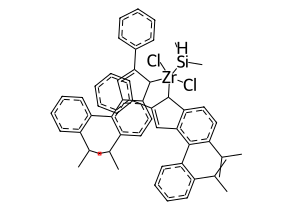 CC(C)c1ccccc1-c1c(C(C)C)ccc2c1C=C(c1ccccc1)[CH]2[Zr]([Cl])([Cl])([CH]1C(c2ccccc2)=Cc2c1ccc(C(C)C)c2-c1ccccc1C(C)C)[SiH](C)C